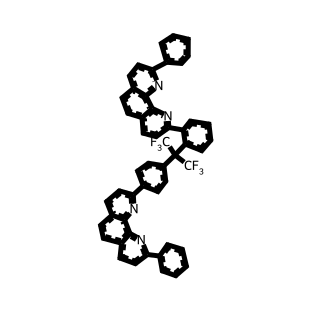 FC(F)(F)C(c1ccc(-c2ccc3ccc4ccc(-c5ccccc5)nc4c3n2)cc1)(c1ccccc1-c1ccc2ccc3ccc(-c4ccccc4)nc3c2n1)C(F)(F)F